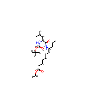 CCC/C(=C/CCCCCC(=O)OCC)NC(=O)[C@H](CC(C)C)NC(=O)OC(C)(C)C